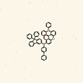 c1ccc(-c2ccc(N(c3ccc4c(c3)-c3ccccc3C4(c3ccccc3)c3ccccc3)c3ccc4c5c(cccc35)-c3c(cccc3N(c3ccccc3)c3ccccc3)O4)cc2)cc1